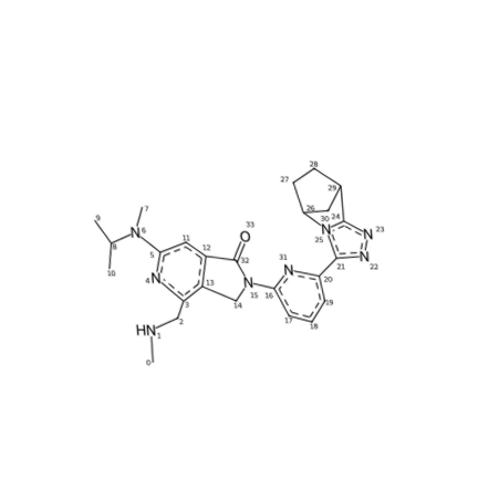 CNCc1nc(N(C)C(C)C)cc2c1CN(c1cccc(-c3nnc4n3C3CCC4C3)n1)C2=O